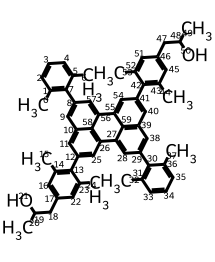 Cc1cccc(C)c1-c1cc2cc(-c3c(C)cc(CC(C)O)cc3C)cc3c4cc(-c5c(C)cccc5C)cc5cc(-c6c(C)cc(CC(C)O)cc6C)cc(c(c1)c23)c54